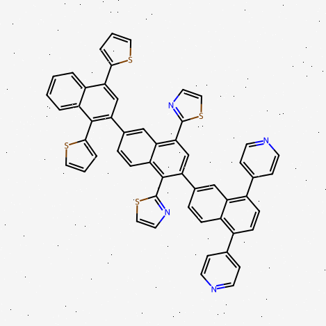 c1csc(-c2cc(-c3ccc4c(-c5nccs5)c(-c5ccc6c(-c7ccncc7)ccc(-c7ccncc7)c6c5)cc(-c5nccs5)c4c3)c(-c3cccs3)c3ccccc23)c1